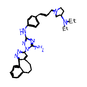 CCN(CC)C1CCN(CC=Cc2ccc(Nc3nc(N)n(-c4cc5c(nn4)-c4ccccc4CCC5)n3)cc2)C1